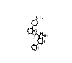 CN1CCN(c2ccnc3[nH]c(-c4n[nH]c5ncc(-c6ccccn6)cc45)nc23)CC1